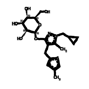 Cc1csc(Cc2c(O[C@@H]3O[C@H](CO)[C@@H](O)[C@H](O)[C@H]3O)nn(CC3CC3)c2C)c1